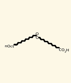 CCCCCCCCC=CCCCCCCCCCC(=O)OCCCCCCCCCCCC(=O)O